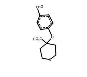 O=Cc1ccc(OC2(C(=O)O)CCSCC2)cc1